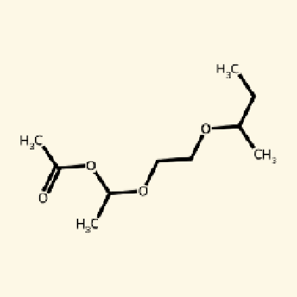 CCC(C)OCCOC(C)OC(C)=O